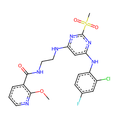 COc1ncccc1C(=O)NCCNc1cc(Nc2ccc(F)cc2Cl)nc(S(C)(=O)=O)n1